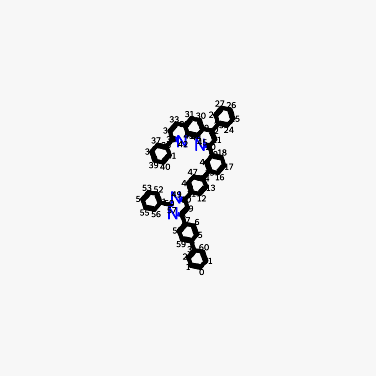 c1ccc(-c2ccc(-c3cc(-c4ccc(-c5cccc(-c6cc(-c7ccccc7)c7ccc8ccc(-c9ccccc9)nc8c7n6)c5)cc4)nc(-c4ccccc4)n3)cc2)cc1